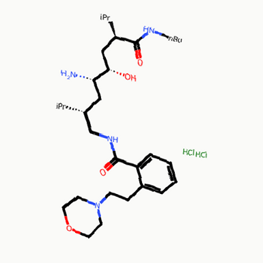 CCCCNC(=O)[C@@H](C[C@H](O)[C@@H](N)C[C@H](CNC(=O)c1ccccc1CCN1CCOCC1)C(C)C)C(C)C.Cl.Cl